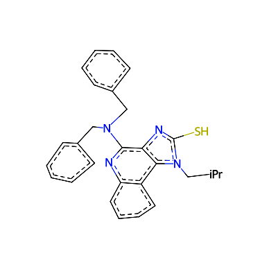 CC(C)Cn1c(S)nc2c(N(Cc3ccccc3)Cc3ccccc3)nc3ccccc3c21